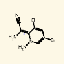 N#C/C(N)=C1\C(Cl)=CC(Br)=CN1N